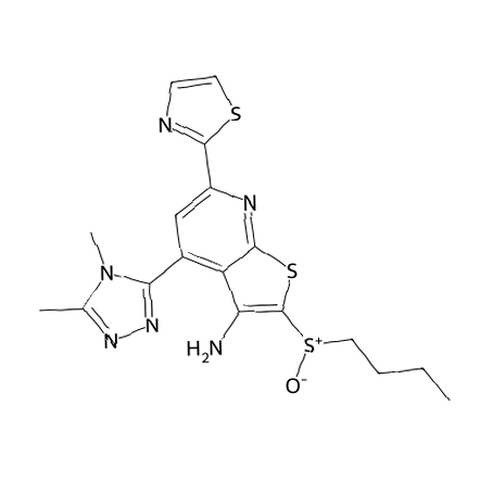 CCCC[S+]([O-])c1sc2nc(-c3nccs3)cc(-c3nnc(C)n3C)c2c1N